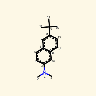 CN(C)c1ccc2cc(C(C)(C)C)ccc2c1